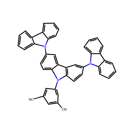 N#Cc1cc(C#N)cc(-n2c3ccc(-n4c5ccccc5c5ccccc54)cc3c3cc(-n4c5ccccc5c5ccccc54)ccc32)c1